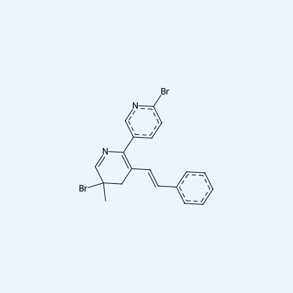 CC1(Br)C=NC(c2ccc(Br)nc2)=C(C=Cc2ccccc2)C1